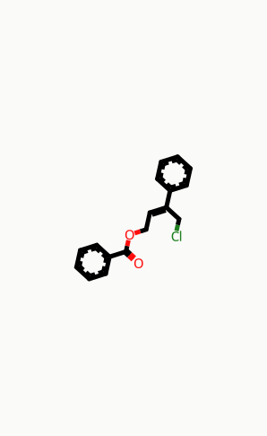 O=C(OCC=C(CCl)c1ccccc1)c1ccccc1